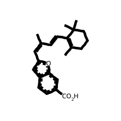 CC(C=CC1=C(C)CCCC1(C)C)=Cc1cc2ccc(C(=O)O)cc2o1